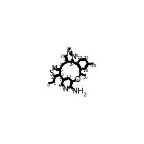 CCc1snc2c1-c1cnc(N)c(c1)OC(C)c1cc(C)ccc1-c1nn(C)cc1C2